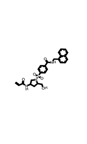 C=CC(=O)NC1CC(CO)N(S(=O)(=O)c2ccc(C(=O)NCc3cccc4ccccc34)cc2)C1